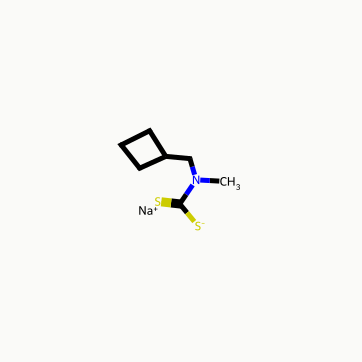 CN(CC1CCC1)C(=S)[S-].[Na+]